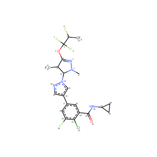 CN1N=C(OC(F)(F)C(F)C(F)(F)F)C(C(F)(F)F)C1n1cc(-c2cc(F)c(Cl)c(C(=O)NC3CC3)c2)cn1